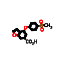 CS(=O)(=O)c1ccc(Oc2cc(C(=O)O)cc3occc23)cc1